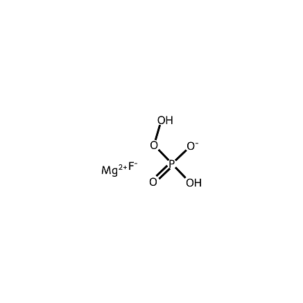 O=P([O-])(O)OO.[F-].[Mg+2]